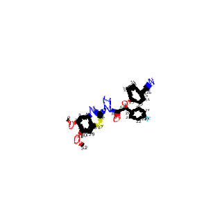 COc1cc2nc(NC(=O)C(Oc3ccc(C#N)cc3)c3ccc(F)cc3)sc2cc1OC